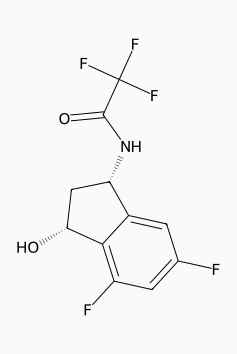 O=C(N[C@H]1C[C@@H](O)c2c(F)cc(F)cc21)C(F)(F)F